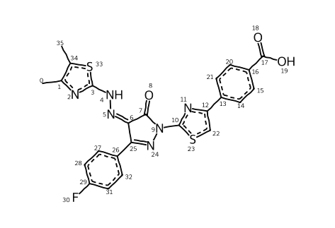 Cc1nc(N/N=C2\C(=O)N(c3nc(-c4ccc(C(=O)O)cc4)cs3)N=C2c2ccc(F)cc2)sc1C